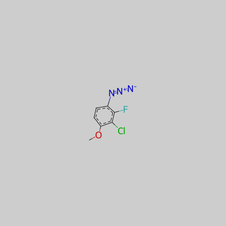 COc1ccc(N=[N+]=[N-])c(F)c1Cl